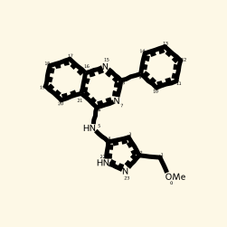 COCc1cc(Nc2nc(-c3ccccc3)nc3ccccc23)[nH]n1